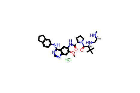 CN[C@@H](C)CN[C@H](C(=O)N1CCC[C@H]1C(=O)Nc1cc2c(Nc3ccc4c(c3)CCC4)ncnc2cc1OC)C(C)(C)C.Cl